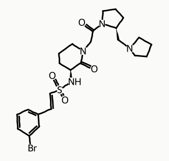 O=C1[C@@H](NS(=O)(=O)/C=C/c2cccc(Br)c2)CCCN1CC(=O)N1CCC[C@H]1CN1CCCC1